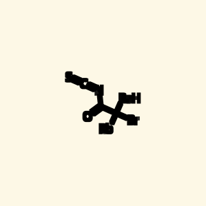 O=C(N=C=S)[C](Br)([Rb])[RaH]